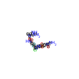 NCCC[N+](CCCN)(CCOC(=O)NC1CCC(C(F)(F)c2cc(Cl)nc(N3CCN(S(=O)(=O)c4ccc(N5C[C@H](N)CC5=O)cc4)CC3)c2)CC1)CC(=O)O